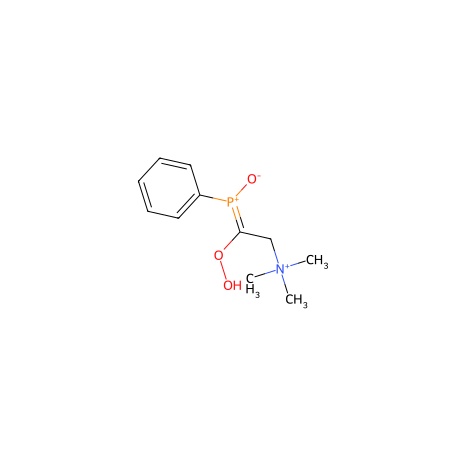 C[N+](C)(C)CC(OO)=[P+]([O-])c1ccccc1